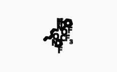 C=C/C=C(\C=C/CNC(=O)c1c(F)cccc1F)Oc1ncc(F)cc1C(F)(F)F